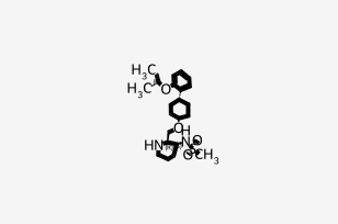 CC[C@@H](C)Oc1ccccc1[C@H]1CC[C@@H](OC[C@@H]2NCCC[C@@H]2NS(C)(=O)=O)CC1